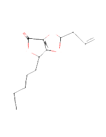 C=CCC1OC2=C(O1)C(CCCCC)OC2=O